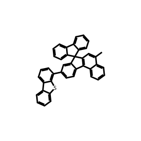 Cc1cc2c(c3ccccc13)-c1ccc(-c3cccc4c3sc3ccccc34)cc1C21c2ccccc2-c2ccccc21